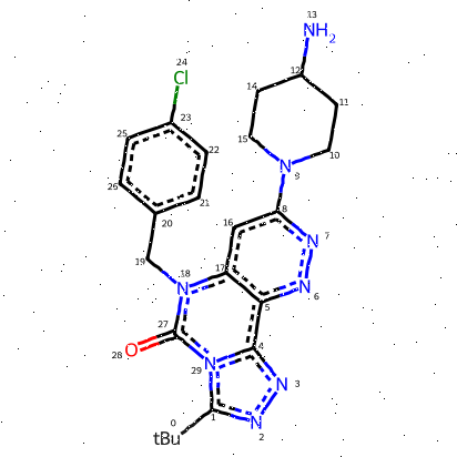 CC(C)(C)c1nnc2c3nnc(N4CCC(N)CC4)cc3n(Cc3ccc(Cl)cc3)c(=O)n12